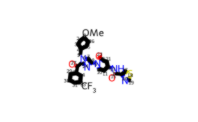 COc1ccc(Cn2cc(-n3ccc(NC(=O)c4cscn4)cc3=O)nc2C(=O)c2cccc(C(F)(F)F)c2)cc1